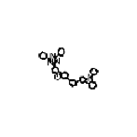 c1ccc(-c2nc(-c3ccccc3)nc(-c3ccc4oc5cc(-c6cccc(-c7ccc8c(c7)c7ccccc7n8-c7ccccc7)c6)ccc5c4c3)n2)cc1